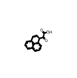 O=C(O)C(=O)C1C=Cc2cccc3cccc1c23